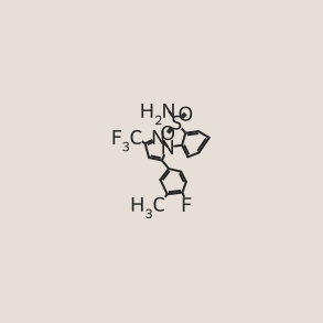 Cc1cc(-c2cc(C(F)(F)F)nn2-c2ccccc2S(N)(=O)=O)ccc1F